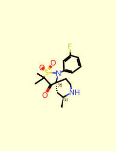 C[C@H]1C[C@]2(CCN1)C(=O)C(C)(C)S(=O)(=O)N2c1cccc(F)c1